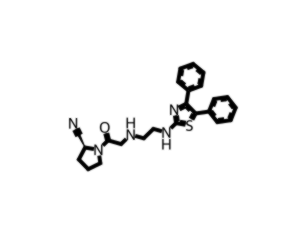 N#C[C@@H]1CCCN1C(=O)CNCCNc1nc(-c2ccccc2)c(-c2ccccc2)s1